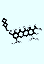 CN(C)c1cc(CNCC2CC3(CCC3)C2)c(O)c2c1C[C@H]1C[C@H]3[C@H](N(C)C)C(O)=C(C(N)=O)C(=O)[C@@]3(O)C(O)=C1C2=O